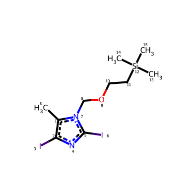 Cc1c(I)nc(I)n1COCC[Si](C)(C)C